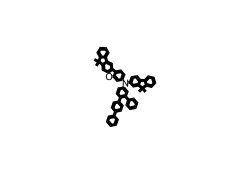 CC1(C)c2ccccc2-c2ccc(N(c3ccc(-c4ccc(-c5ccccc5)cc4)c(-c4ccccc4)c3)c3ccc4c(c3)oc3cc5c(cc34)-c3ccccc3C5(C)C)cc21